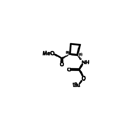 COC(=O)[C@@H]1CC[C@@H]1NC(=O)OC(C)(C)C